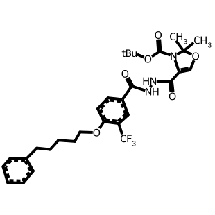 CC(C)(C)OC(=O)N1C(C(=O)NNC(=O)c2ccc(OCCCCCc3ccccc3)c(C(F)(F)F)c2)=COC1(C)C